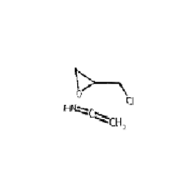 C=C=N.ClCC1CO1